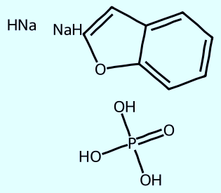 O=P(O)(O)O.[NaH].[NaH].c1ccc2occc2c1